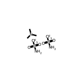 CN(C)C.NS(=O)(=O)C(F)(F)F.NS(=O)(=O)C(F)(F)F